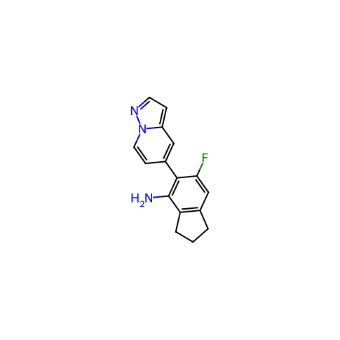 Nc1c2c(cc(F)c1-c1ccn3nccc3c1)CCC2